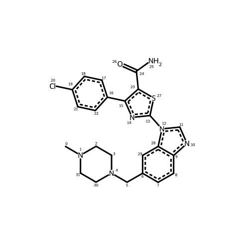 CN1CCN(Cc2ccc3ncn(-c4nc(-c5ccc(Cl)cc5)c(C(N)=O)s4)c3c2)CC1